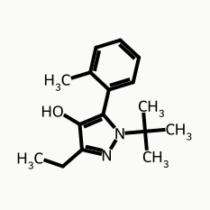 CCc1nn(C(C)(C)C)c(-c2ccccc2C)c1O